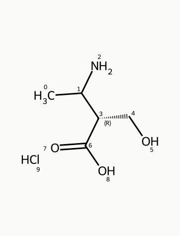 CC(N)[C@H](CO)C(=O)O.Cl